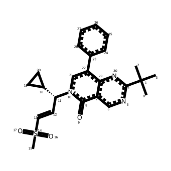 CC(C)(C)c1ncc2c(=O)n([C@H](/C=C/S(C)(=O)=O)C3CC3)cc(-c3ccccc3)c2n1